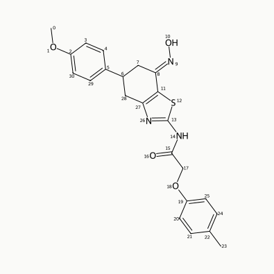 COc1ccc(C2C/C(=N\O)c3sc(NC(=O)COc4ccc(C)cc4)nc3C2)cc1